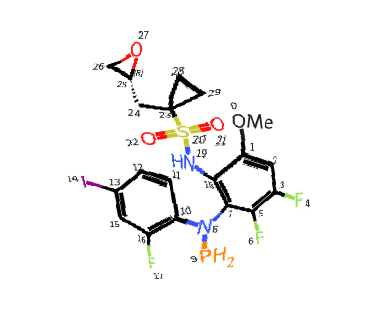 COc1cc(F)c(F)c(N(P)c2ccc(I)cc2F)c1NS(=O)(=O)C1(C[C@@H]2CO2)CC1